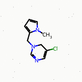 Cn1cccc1CN1C=NC=C(Cl)C1